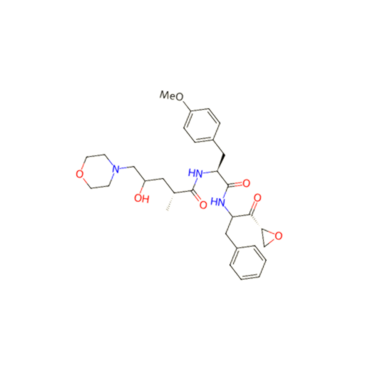 COc1ccc(C[C@H](NC(=O)[C@H](C)CC(O)CN2CCOCC2)C(=O)NC(Cc2ccccc2)C(=O)[C@H]2CO2)cc1